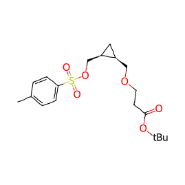 Cc1ccc(S(=O)(=O)OC[C@H]2C[C@H]2COCCC(=O)OC(C)(C)C)cc1